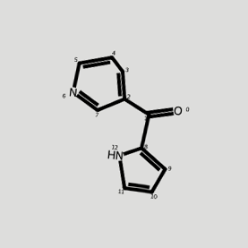 O=C(c1cccnc1)c1ccc[nH]1